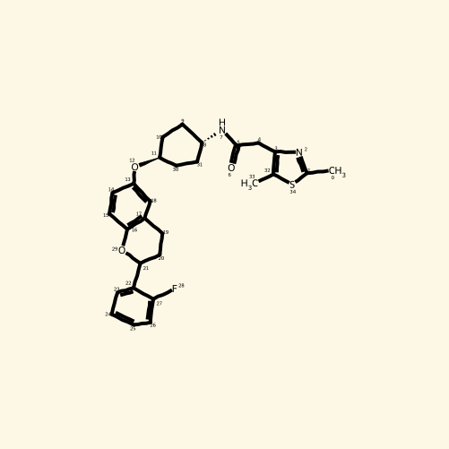 Cc1nc(CC(=O)N[C@H]2CC[C@H](Oc3ccc4c(c3)CCC(c3ccccc3F)O4)CC2)c(C)s1